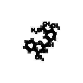 Cc1ccc(NC(=O)NC(C)c2ccccc2)cc1C(C)C